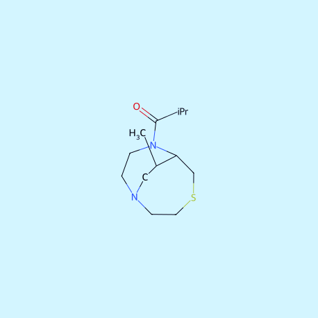 CC(C)C(=O)N1CCN2CCSCC1C(C)C2